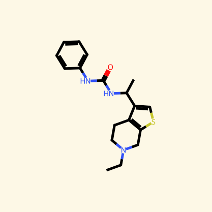 CCN1CCc2c(C(C)NC(=O)Nc3ccccc3)csc2C1